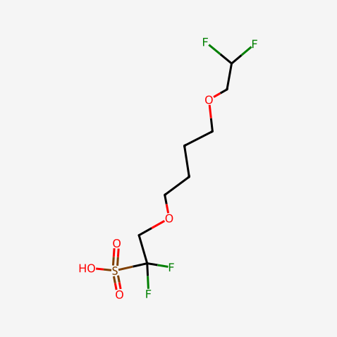 O=S(=O)(O)C(F)(F)COCCCCOCC(F)F